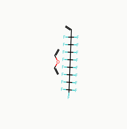 C=CC(F)(F)C(F)(F)C(F)(F)C(F)(F)C(F)(F)C(F)(F)C(F)(F)C(F)(F)F.C=COC=C